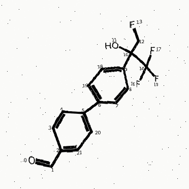 O=Cc1ccc(-c2ccc(C(O)(CF)C(F)(F)F)cc2)cc1